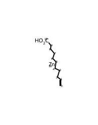 C=CCCCCCCCCC(=O)O.[Zn]